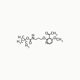 COc1ccnc(OCCCNC(=O)OC(C)(C)C)c1C(C)=O